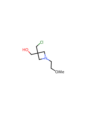 COCCN1CC(CO)(CCl)C1